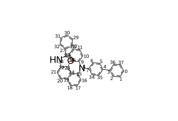 c1ccc(-c2ccc(N(c3ccccc3)c3cccc4ccc5c(c34)OC(c3ccccc3)N5)cc2)cc1